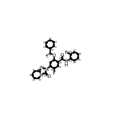 C[C@H](Oc1cc(-n2nc3ccccn3c2=O)c(F)cc1C(=O)Nc1ccccc1F)c1ccccc1